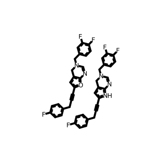 Fc1ccc(CC#Cc2cc3c([nH]2)N=CN(Cc2ccc(F)c(F)c2)C3)cc1.Fc1ccc(CC#Cc2cc3c(o2)N=CN(Cc2ccc(F)c(F)c2)C3)cc1